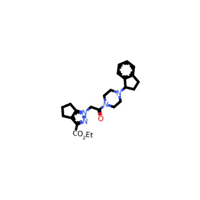 CCOC(=O)c1nn(CC(=O)N2CCN(C3CCc4ccccc43)CC2)c2c1CCC2